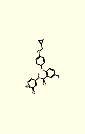 O=C(Nc1cc[nH]c(=O)c1)c1cc(F)ccc1OC1C=CC(OCC2CC2)=CC1